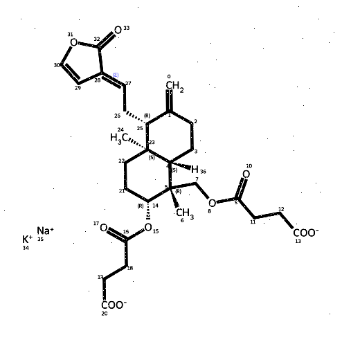 C=C1CC[C@@H]2[C@](C)(COC(=O)CCC(=O)[O-])[C@H](OC(=O)CCC(=O)[O-])CC[C@@]2(C)[C@@H]1C/C=C1\C=COC1=O.[K+].[Na+]